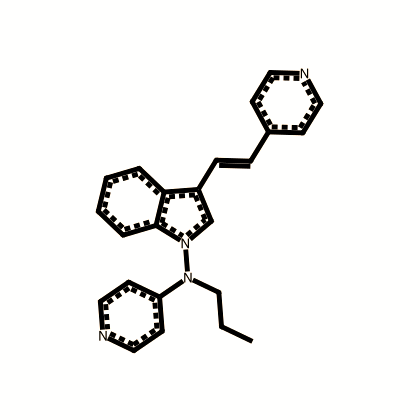 CCCN(c1ccncc1)n1cc(C=Cc2ccncc2)c2ccccc21